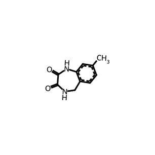 Cc1ccc2c(c1)NC(=O)C(=O)NC2